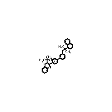 CC(C)(C)c1nc2ccccc2nc1-c1ccc(-c2cccc(CC(C)(C)c3cccc4cccnc34)c2)cc1